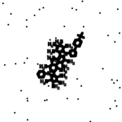 Bc1c(B)c(B)c2c(c1B)c1c(B)c(-c3c(B)c(B)c4c(c3B)c3c(B)c(B)c(B)c(B)c3n4-c3cccc(-c4ccc(C(C)(C)C)cc4)c3)c(B)c(B)c1n2-c1ccccc1